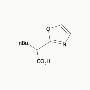 CCCCC(C(=O)O)c1ncco1